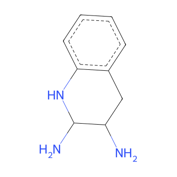 NC1Cc2ccccc2NC1N